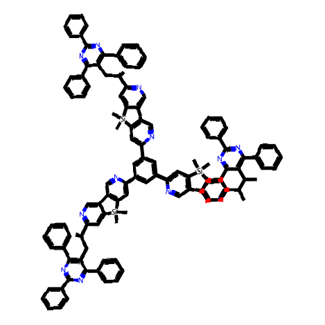 CC(Cc1c(-c2ccccc2)nc(-c2ccccc2)nc1-c1ccccc1)c1cc2c(cn1)-c1cnc(-c3cc(-c4cc5c(cn4)-c4cnc(C(C)Cc6c(-c7ccccc7)nc(-c7ccccc7)nc6-c6ccccc6)cc4[Si]5(C)C)cc(-c4cc5c(cn4)-c4cnc(C(C)C(C)c6c(-c7ccccc7)nc(-c7ccccc7)nc6-c6ccccc6)cc4[Si]5(C)C)c3)cc1[Si]2(C)C